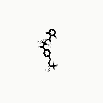 C[C@H](CCc1ccc(C(=O)C(C)(C)NC(=O)c2c(F)cccc2F)cc1)C(F)(F)F